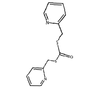 O=C(SCc1ccccn1)SCc1ccccn1